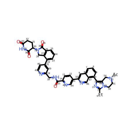 CCc1nc(-c2cccc3cc(-c4ccc(C(=O)NCc5cc(-c6cccc7c6CN(C6CCC(=O)NC6=O)C7=O)ccn5)nc4)ncc23)c2n1CCN(C(C)=O)C2